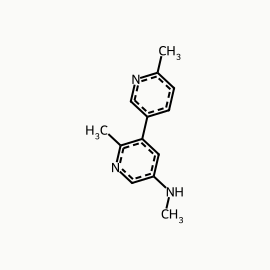 CNc1cnc(C)c(-c2ccc(C)nc2)c1